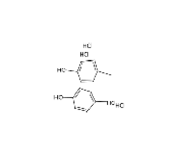 Cc1ccc(O)cc1.Cc1ccc(O)cc1.Cl.Cl.Cl.Cl